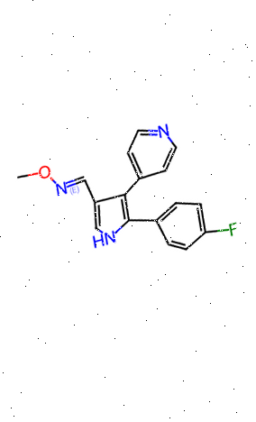 CO/N=C/c1c[nH]c(-c2ccc(F)cc2)c1-c1ccncc1